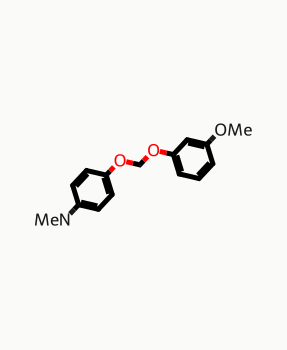 CNc1ccc(OCOc2cccc(OC)c2)cc1